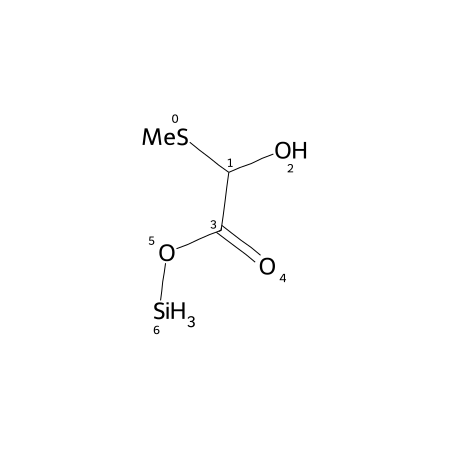 CSC(O)C(=O)O[SiH3]